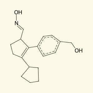 OCc1ccc(C2=C(C3CCCC3)CCC2C=NO)cc1